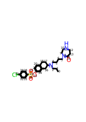 CCCN(CCCCN1CCNCCC1=O)C1CCc2ccc(OS(=O)(=O)c3ccc(Cl)cc3)cc2C1